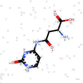 N[C@@H](CC(=O)Nc1cc[nH]c(=O)n1)C(=O)O